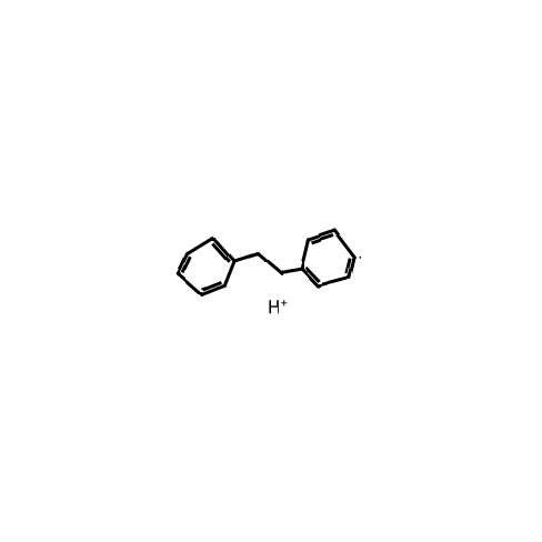 [H+].[c]1ccc(CCc2ccccc2)cc1